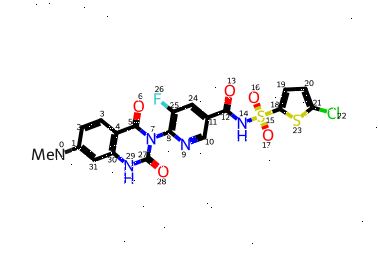 CNc1ccc2c(=O)n(-c3ncc(C(=O)NS(=O)(=O)c4ccc(Cl)s4)cc3F)c(=O)[nH]c2c1